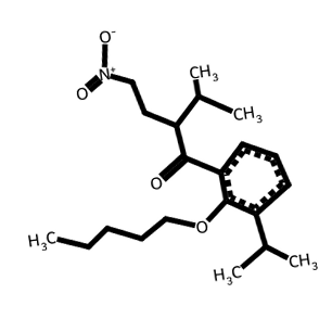 CCCCCOc1c(C(=O)C(CC[N+](=O)[O-])C(C)C)cccc1C(C)C